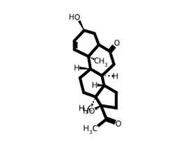 CC(=O)[C@@]1(O)CC[C@H]2[C@@H]3CC(=O)C4C[C@H](O)C=C[C@]4(C)[C@H]3CC[C@@]21C